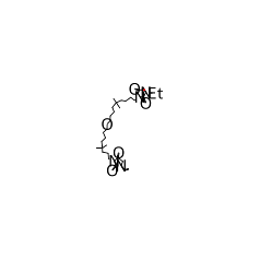 C=CN1CC(=O)N(CCCC(C)(C)CCCCOCCCCC(C)(C)CCCCN2C(=O)CN(CC)C2=O)C1=O